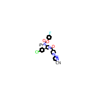 CC(C)N(C(=O)Oc1ccc(F)cc1)[C@@H]1CN(C(=O)C2CCN(c3ccc(C#N)nn3)CC2)C[C@H]1c1ccc(Cl)cc1